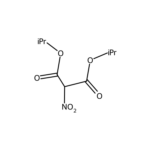 CC(C)OC(=O)C(C(=O)OC(C)C)[N+](=O)[O-]